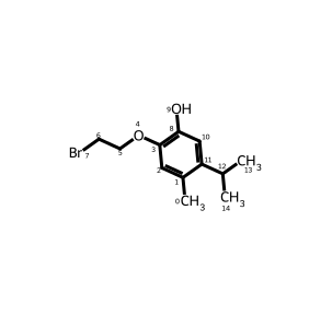 Cc1cc(OCCBr)c(O)cc1C(C)C